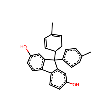 CC1=CCC(C2(c3ccc(C)cc3)c3cc(O)ccc3-c3ccc(O)cc32)C=C1